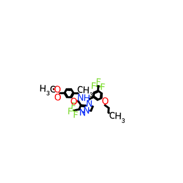 CCCCOc1cc(CN2CCn3nc(C(F)(F)F)c(C(=O)NC(C)c4ccc(C(=O)OC)cc4)c32)cc(C(F)(F)F)c1